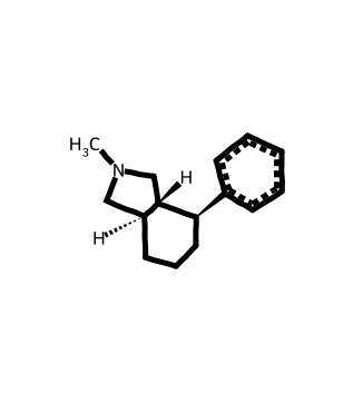 CN1C[C@@H]2CCC[C@H](c3ccccc3)[C@H]2C1